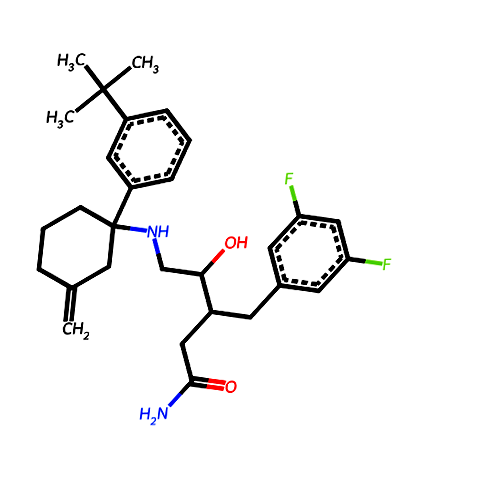 C=C1CCCC(NCC(O)C(CC(N)=O)Cc2cc(F)cc(F)c2)(c2cccc(C(C)(C)C)c2)C1